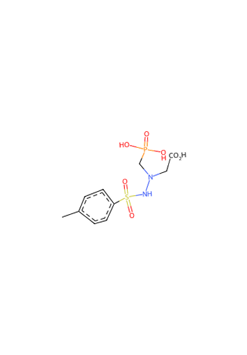 Cc1ccc(S(=O)(=O)NN(CC(=O)O)CP(=O)(O)O)cc1